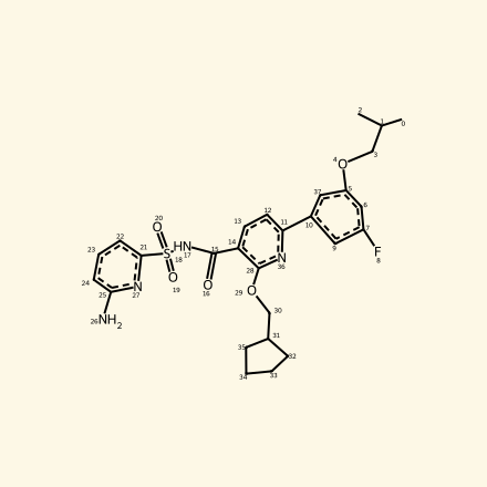 CC(C)COc1cc(F)cc(-c2ccc(C(=O)NS(=O)(=O)c3cccc(N)n3)c(OCC3CCCC3)n2)c1